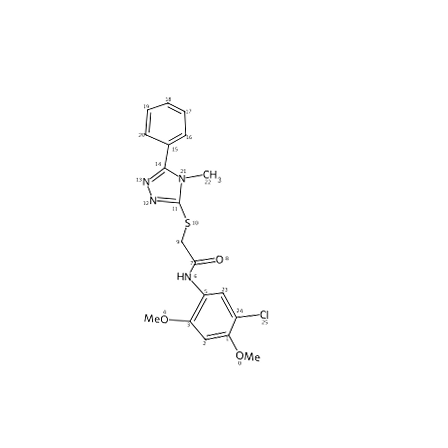 COc1cc(OC)c(NC(=O)CSc2nnc(-c3ccccc3)n2C)cc1Cl